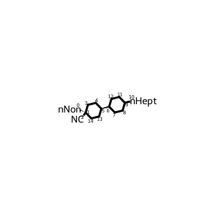 CCCCCCCCC[C@]1(C#N)CC[C@@H](C2CCC(CCCCCCC)CC2)CC1